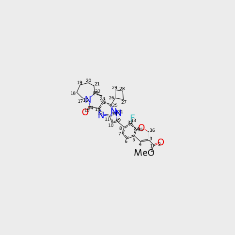 COC(=O)C1=Cc2ccc(-c3cc4nc(C(=O)N5CCCCC[C@H]5C)cc(C5CCC5)n4n3)c(F)c2OC1